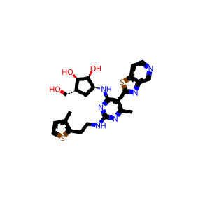 Cc1ccsc1CCNc1nc(C)c(-c2nc3cnccc3s2)c(N[C@@H]2C[C@H](CO)[C@@H](O)[C@H]2O)n1